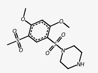 COc1cc(OC)c(S(=O)(=O)N2CCNCC2)cc1S(C)(=O)=O